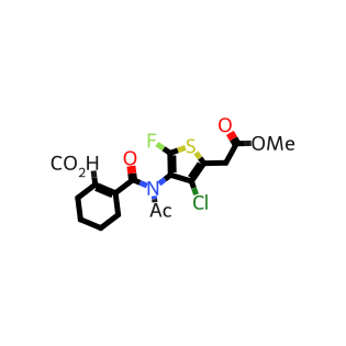 COC(=O)Cc1sc(F)c(N(C(C)=O)C(=O)C2=C(C(=O)O)CCCC2)c1Cl